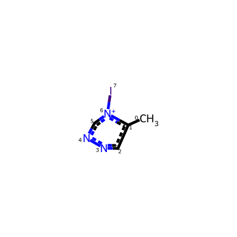 Cc1cnnc[n+]1I